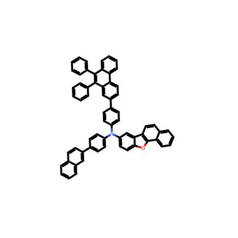 c1ccc(-c2c(-c3ccccc3)c3cc(-c4ccc(N(c5ccc(-c6ccc7ccccc7c6)cc5)c5ccc6oc7c8ccccc8ccc7c6c5)cc4)ccc3c3ccccc23)cc1